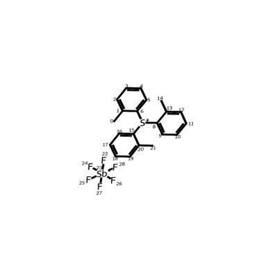 Cc1ccccc1[S+](c1ccccc1C)c1ccccc1C.[F][Sb-]([F])([F])([F])([F])[F]